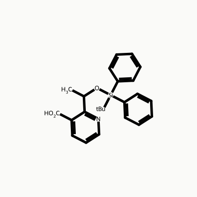 CC(O[Si](c1ccccc1)(c1ccccc1)C(C)(C)C)c1ncccc1C(=O)O